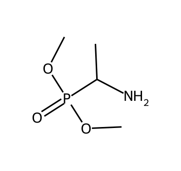 COP(=O)(OC)C(C)N